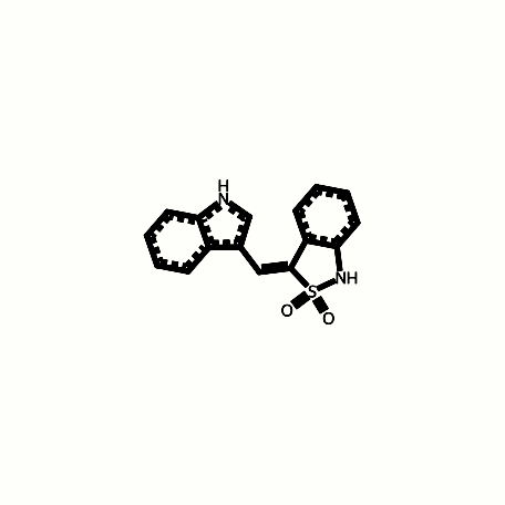 O=S1(=O)Nc2ccccc2/C1=C\c1c[nH]c2ccccc12